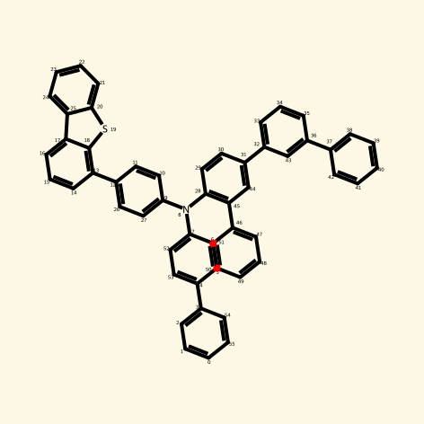 c1ccc(-c2ccc(N(c3ccc(-c4cccc5c4sc4ccccc45)cc3)c3ccc(-c4cccc(-c5ccccc5)c4)cc3-c3ccccc3)cc2)cc1